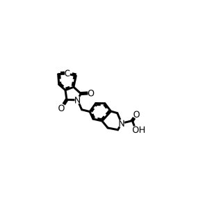 O=C(O)N1CCc2cc(CN3C(=O)c4ccccc4C3=O)ccc2C1